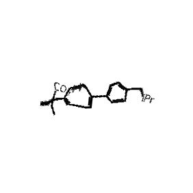 CC(C)Cc1ccc(-c2ccc(C(C)(C)C(=O)O)cc2)cc1